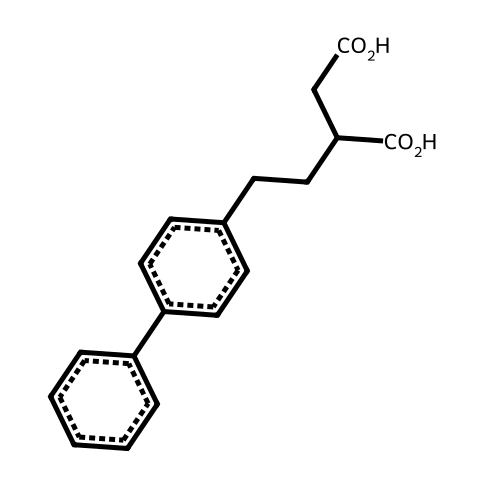 O=C(O)CC(CCc1ccc(-c2ccccc2)cc1)C(=O)O